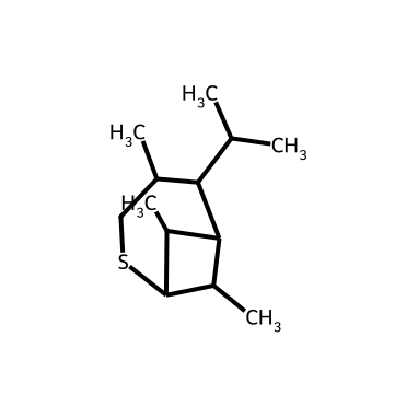 CC(C)C1C(C)CSC2C(C)C1C2C